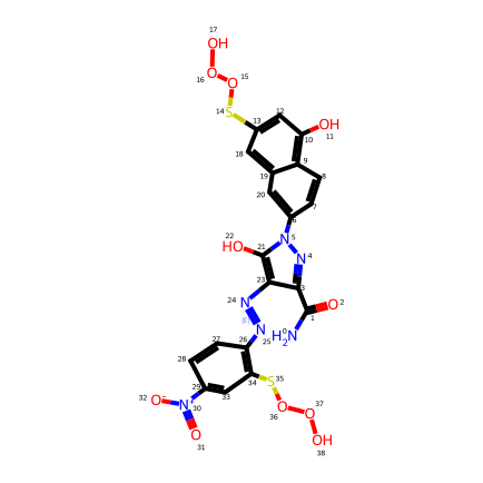 NC(=O)c1nn(-c2ccc3c(O)cc(SOOO)cc3c2)c(O)c1/N=N/c1ccc([N+](=O)[O-])cc1SOOO